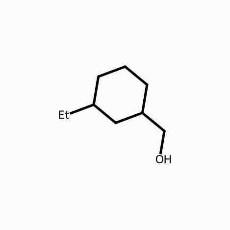 CCC1CCCC(CO)C1